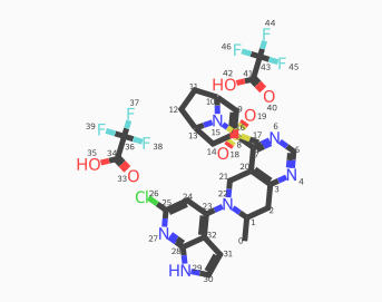 CC1Cc2ncnc(C3=CC4CCC(C3)N4S(C)(=O)=O)c2CN1c1cc(Cl)nc2[nH]ccc12.O=C(O)C(F)(F)F.O=C(O)C(F)(F)F